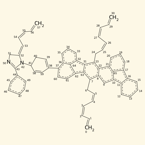 C=C/C=C\C=C/Cc1c2cc3c4ccccc4c4cccc(c2c(C/C=C\C=C/C=C)c2c5cccc6c(C7=CCC(N8C(c9ccccc9)=NC/C8=C\C=C/C=C)C=C7)ccc(c12)c65)c43